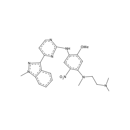 COc1cc(N(C)CCN(C)C)c([N+](=O)[O-])cc1Nc1nccc(-c2nn(C)c3ccccc23)n1